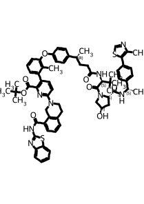 Cc1ncsc1-c1ccc([C@H](C)NC(=O)[C@@H]2C[C@@H](O)CN2C(=O)[C@@H](NC(=O)CC[C@@H](C)c2ccc(Oc3cccc(-c4ccc(N5CCc6cccc(C(=O)Nc7nc8ccccc8s7)c6C5)nc4C(=O)OC(C)(C)C)c3C)cc2)C(C)(C)C)cc1